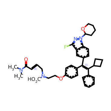 CN(C)C(=O)/C=C/CN(CCOc1ccc(/C(=C(\c2ccccc2)C2CCC2)c2ccc3c(c2)c(F)nn3C2CCCCO2)cc1)C(=O)O